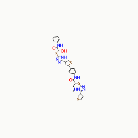 C=CCC(Sc1nnc(C2C=CSC2)[nH]1)C(=O)Nc1ccc(C2CC(c3nnc(SC(O)C(=O)NC4=CC=CCC4)[nH]3)CS2)cc1